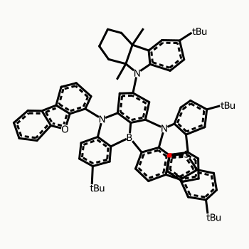 CC(C)(C)c1ccc2c(c1)B1c3ccc4c(sc5ccc(C(C)(C)C)cc54)c3N(c3ccc(C(C)(C)C)cc3-c3ccccc3)c3cc(N4c5ccc(C(C)(C)C)cc5C5(C)CCCCC45C)cc(c31)N2c1cccc2c1oc1ccccc12